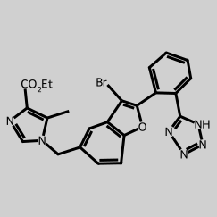 CCOC(=O)c1ncn(Cc2ccc3oc(-c4ccccc4-c4nnn[nH]4)c(Br)c3c2)c1C